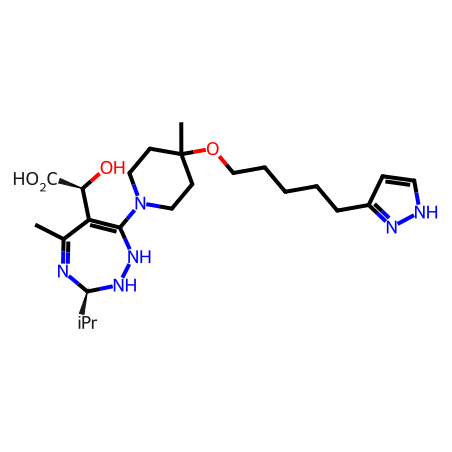 CC1=N[C@H](C(C)C)NNC(N2CCC(C)(OCCCCCc3cc[nH]n3)CC2)=C1[C@H](O)C(=O)O